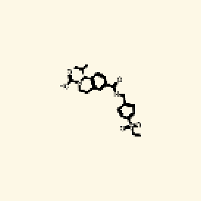 CCS(=O)(=O)c1ccc(CNC(=O)c2ccc3c(c2)CCN(C(=O)O)[C@H]3C(C)C)cc1